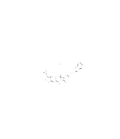 O=C(CSc1nc2ccccc2[nH]1)N[C@@H]1C(=O)N2C(C(=O)O)=C(C=C3CCN(C4CC4)C3=O)CS[C@H]12.[Na]